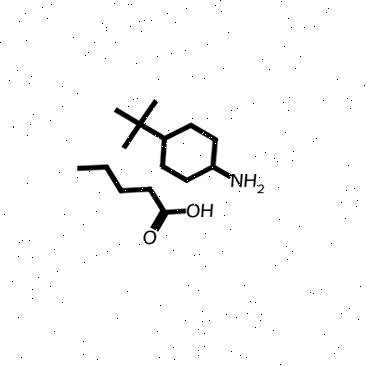 CC(C)(C)C1CCC(N)CC1.CCCCC(=O)O